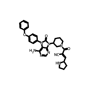 N#C/C(=C\C1CCCN1)C(=O)N1CCCC(n2c(=O)n(-c3ccc(Oc4ccccc4)cc3)c3c(N)ncnc32)C1